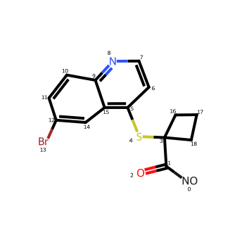 O=NC(=O)C1(Sc2ccnc3ccc(Br)cc23)CCC1